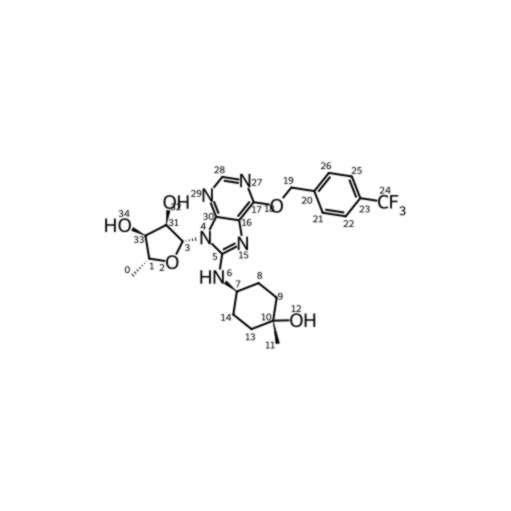 C[C@H]1O[C@@H](n2c(N[C@H]3CC[C@](C)(O)CC3)nc3c(OCc4ccc(C(F)(F)F)cc4)ncnc32)[C@H](O)[C@@H]1O